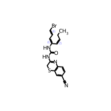 CC\C=C/C(=C\C=C\Br)NC(=O)NC1=Nc2ccc(C#N)cc2SC1